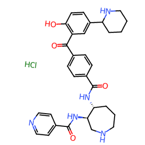 Cl.O=C(N[C@@H]1CCCNC[C@H]1NC(=O)c1ccncc1)c1ccc(C(=O)c2cc(C3CCCCN3)ccc2O)cc1